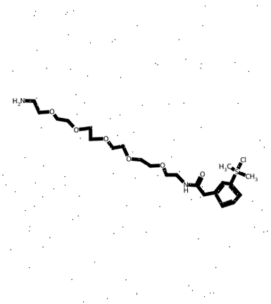 CS(C)(Cl)c1cccc(CC(=O)NCCOCCOCCOCCOCCOCCN)c1